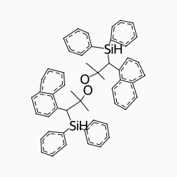 CC(C)(OOC(C)(C)C(c1cccc2ccccc12)[SiH](c1ccccc1)c1ccccc1)C(c1cccc2ccccc12)[SiH](c1ccccc1)c1ccccc1